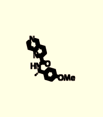 COc1ccc([C@H](C)NC(=O)c2ccc3cnccc3n2)cc1